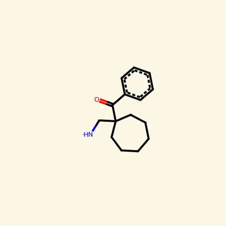 [NH]CC1(C(=O)c2ccccc2)CCCCCC1